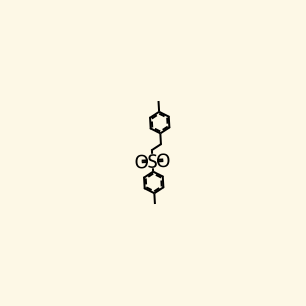 Cc1ccc(CCS(=O)(=O)c2ccc(C)cc2)cc1